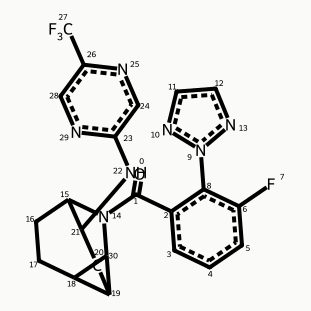 O=C(c1cccc(F)c1-n1nccn1)N1C2CCC3C(CC2Nc2cnc(C(F)(F)F)cn2)C31